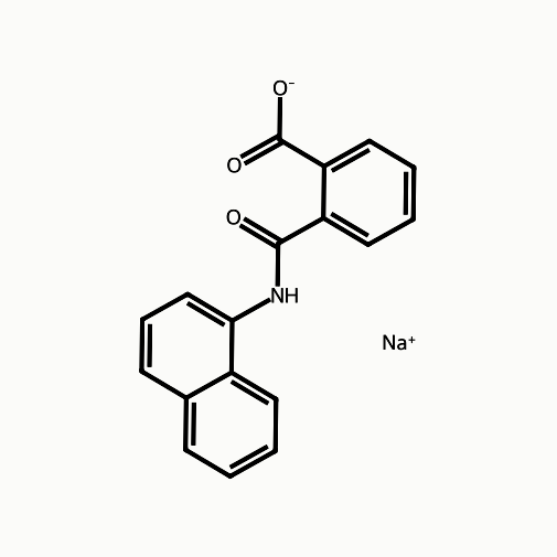 O=C([O-])c1ccccc1C(=O)Nc1cccc2ccccc12.[Na+]